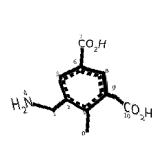 Cc1c(CN)cc(C(=O)O)cc1C(=O)O